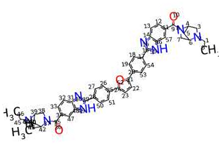 CCN1CC2CC1CN2C(=O)c1ccc2nc(-c3ccc(-c4ccc(-c5ccc(-c6nc7ccc(C(=O)N8CC9[C@@H](C)C8CN9CC)cc7[nH]6)cc5)o4)cc3)[nH]c2c1